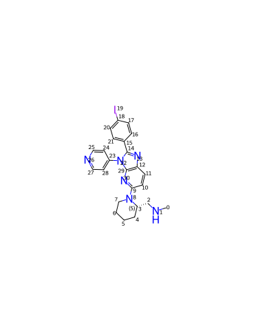 CNC[C@@H]1CCCCN1c1ccc2nc(-c3ccc(I)cc3)n(-c3ccncc3)c2n1